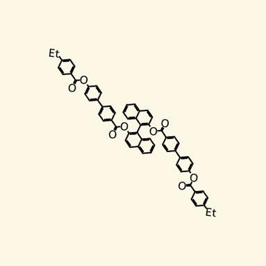 CCc1ccc(C(=O)Oc2ccc(-c3ccc(C(=O)Oc4ccc5ccccc5c4-c4c(OC(=O)c5ccc(-c6ccc(OC(=O)c7ccc(CC)cc7)cc6)cc5)ccc5ccccc45)cc3)cc2)cc1